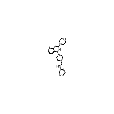 c1cnc2cc(N3CCOCC3)nc(N3CCC(CNc4cnccn4)CC3)c2c1